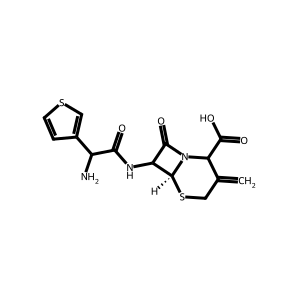 C=C1CS[C@H]2C(NC(=O)C(N)c3ccsc3)C(=O)N2C1C(=O)O